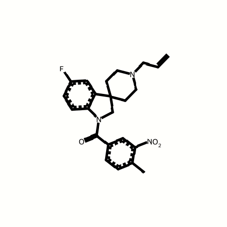 C=CCN1CCC2(CC1)CN(C(=O)c1ccc(C)c([N+](=O)[O-])c1)c1ccc(F)cc12